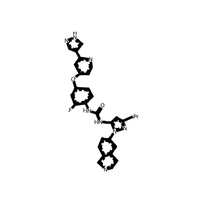 CC(C)c1cc(NC(=O)Nc2ccc(Oc3ccnc(-c4cn[nH]c4)c3)cc2F)n(-c2ccc3cnccc3c2)n1